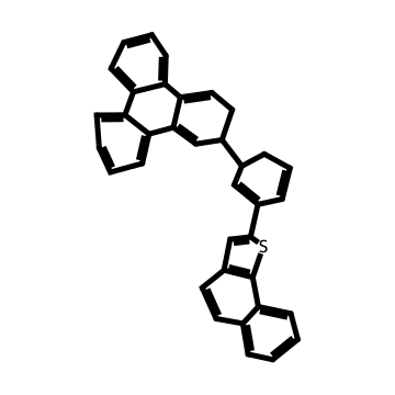 C1=CC(c2cc3ccc4ccccc4c3s2)=CC(C2C=c3c(c4ccccc4c4ccccc34)=CC2)C1